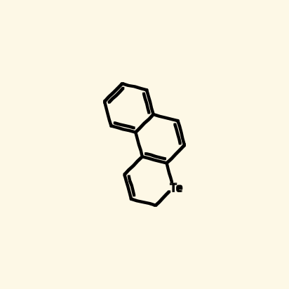 C1=Cc2c(ccc3ccccc23)[Te]C1